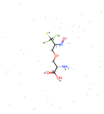 N[C@@H](COCC(N=O)C(F)(F)F)C(=O)O